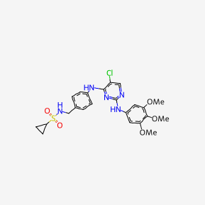 COc1cc(Nc2ncc(Cl)c(Nc3ccc(CNS(=O)(=O)C4CC4)cc3)n2)cc(OC)c1OC